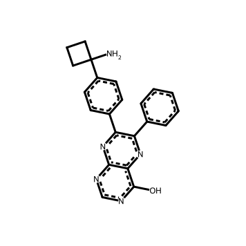 NC1(c2ccc(-c3nc4ncnc(O)c4nc3-c3ccccc3)cc2)CCC1